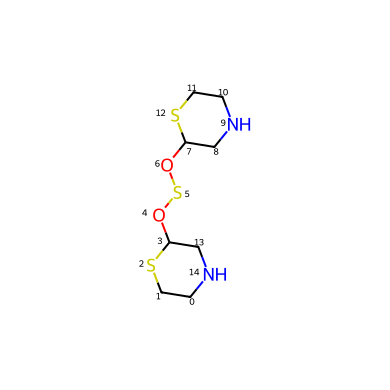 C1CSC(OSOC2CNCCS2)CN1